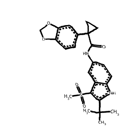 CC(C)(C)c1[nH]c2ccc(NC(=O)C3(c4ccc5c(c4)OCO5)CC3)cc2c1S(C)(=O)=O